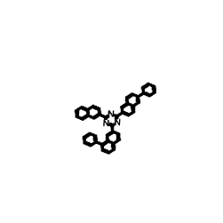 c1ccc(-c2ccc3cc(-c4nc(-c5ccc6ccccc6c5)nc(-c5ccc6cccc(-c7ccccc7)c6c5)n4)ccc3c2)cc1